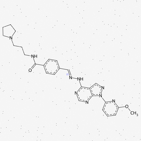 COc1cccc(-n2ncc3c(N/N=C/c4ccc(C(=O)NCCCN5CCCC5)cc4)ncnc32)n1